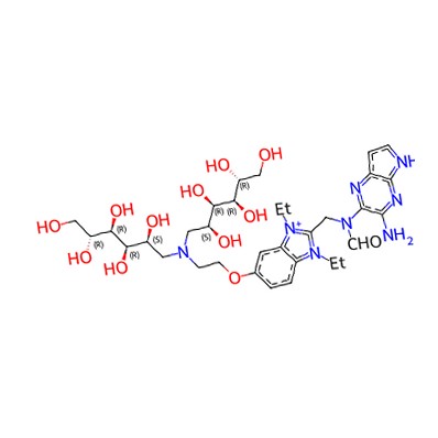 CCn1c(CN(C=O)c2nc3cc[nH]c3nc2N)[n+](CC)c2cc(OCCN(C[C@H](O)[C@@H](O)[C@H](O)[C@H](O)CO)C[C@H](O)[C@@H](O)[C@H](O)[C@H](O)CO)ccc21